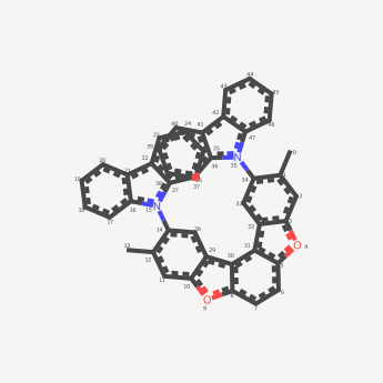 Cc1cc2oc3ccc4oc5cc(C)c(-n6c7ccccc7c7ccccc76)cc5c4c3c2cc1-n1c2ccccc2c2ccccc21